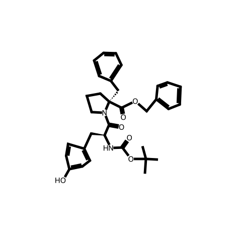 CC(C)(C)OC(=O)N[C@@H](Cc1ccc(O)cc1)C(=O)N1CCC[C@@]1(Cc1ccccc1)C(=O)OCc1ccccc1